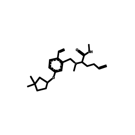 C=CCCC(C(=O)NC)N(C)Cc1cc(OC2CCC(C)(C)C2)ccc1C=C